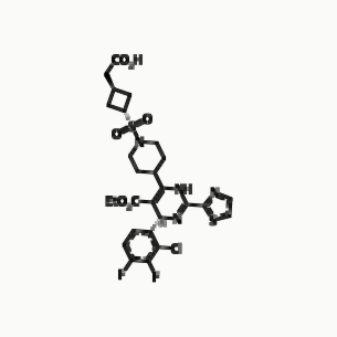 CCOC(=O)C1=C(C2CCN(S(=O)(=O)[C@H]3C[C@H](CC(=O)O)C3)CC2)NC(c2nccs2)=N[C@@H]1c1ccc(F)c(F)c1Cl